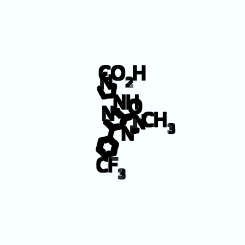 Cn1cnc2c(-c3ccc(C(F)(F)F)cc3)cnc(N[C@H]3CCN(C(=O)O)C3)c2c1=O